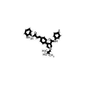 CC(C)(O)CN1CC(C(=O)Nc2ccc(F)cc2)C(c2ccc(/C=C/C(=O)Nc3ccccc3N)cc2)C1